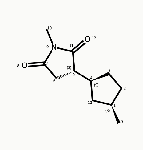 C[C@@H]1CC[C@H]([C@@H]2CC(=O)N(C)C2=O)C1